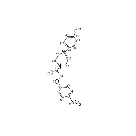 O=C(COc1ccc([N+](=O)[O-])cc1)N1CC=C(c2ccc(F)cc2)CC1